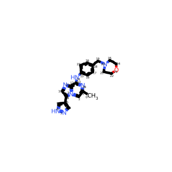 Cc1cn2c(-c3cn[nH]c3)cnc2c(Nc2ccc(CN3CCOCC3)cc2)n1